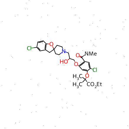 CCOC(=O)C(C)(C)Oc1cc(OC[C@@H](O)CN2CCC3(CC2)Cc2cc(Cl)ccc2O3)c(C(=O)NC)cc1Cl